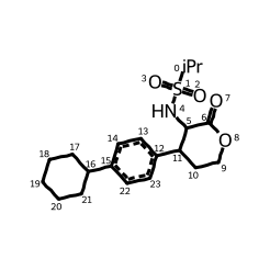 CC(C)S(=O)(=O)NC1C(=O)OCCC1c1ccc(C2CCCCC2)cc1